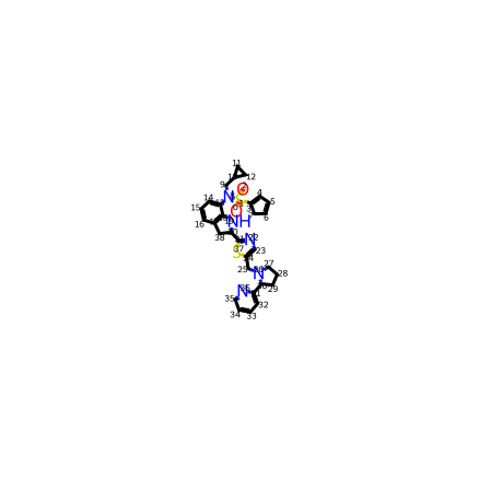 O=S(=O)(C1=CC=CC1)N(CC1CC1)c1cccc2c1NC(c1ncc(CN3CCCC3c3ccccn3)s1)C2